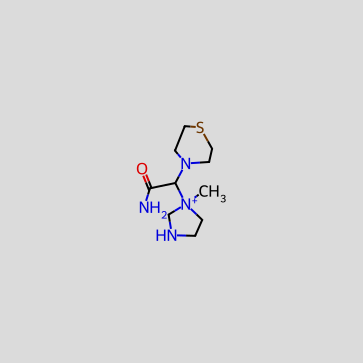 C[N+]1(C(C(N)=O)N2CCSCC2)CCNC1